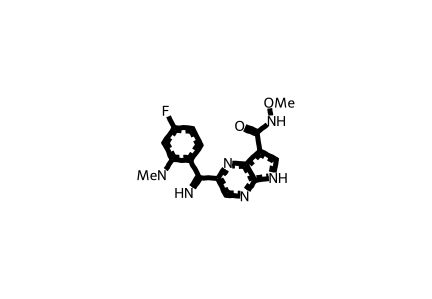 CNc1cc(F)ccc1C(=N)c1cnc2[nH]cc(C(=O)NOC)c2n1